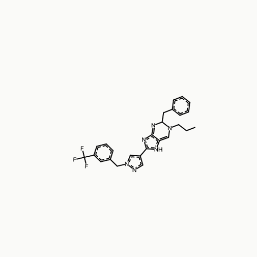 CCCN1C=c2[nH]c(-c3cnn(Cc4cccc(C(F)(F)F)c4)c3)nc2=NC1Cc1ccccc1